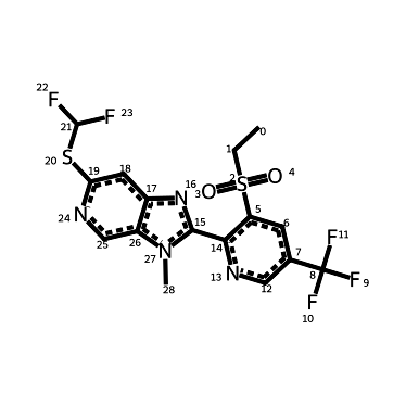 CCS(=O)(=O)c1cc(C(F)(F)F)cnc1-c1nc2cc(SC(F)F)ncc2n1C